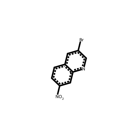 O=[N+]([O-])c1ccc2cc(Br)cnc2c1